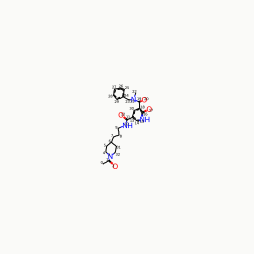 CC(=O)N1CCC(CCCNC(=O)c2c[nH]c(=O)c(C(=O)N(C)Cc3ccccc3)c2)CC1